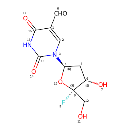 O=Cc1cn([C@H]2C[C@H](O)[C@@](F)(CO)O2)c(=O)[nH]c1=O